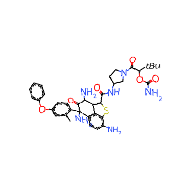 Cc1cc(Oc2ccccc2)ccc1C1(N)C(=O)C(N)C2c3c1ccc(N)c3SC2C(=O)NC1CCN(C(=O)C(OC(N)=O)C(C)(C)C)C1